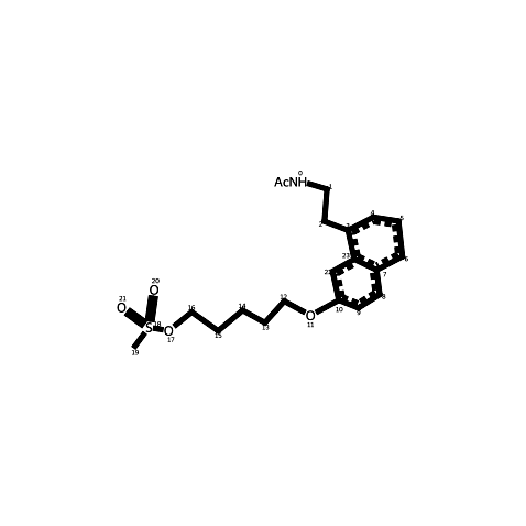 CC(=O)NCCc1cccc2ccc(OCCCCCOS(C)(=O)=O)cc12